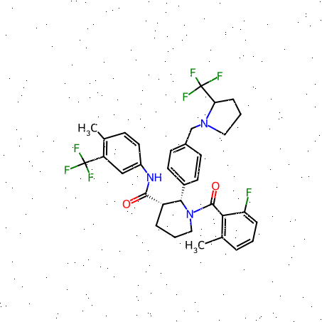 Cc1ccc(NC(=O)[C@H]2CCCN(C(=O)c3c(C)cccc3F)[C@H]2c2ccc(CN3CCCC3C(F)(F)F)cc2)cc1C(F)(F)F